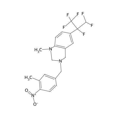 Cc1cc(CN2Cc3cc(C(F)(C(F)F)C(F)(F)F)ccc3N(C)C2)ccc1[N+](=O)[O-]